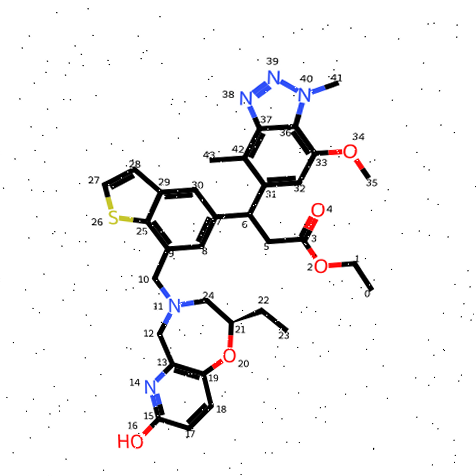 CCOC(=O)CC(c1cc(CN2Cc3nc(O)ccc3O[C@H](CC)C2)c2sccc2c1)c1cc(OC)c2c(nnn2C)c1C